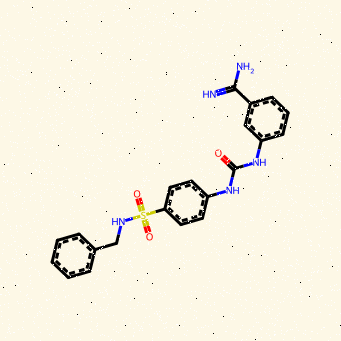 N=C(N)c1cccc(NC(=O)Nc2ccc(S(=O)(=O)NCc3ccccc3)cc2)c1